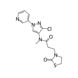 CN(C(=O)CCN1CCSC1=O)c1cn(-c2cccnc2)nc1Cl